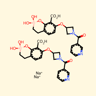 O=C(O)c1c(OC2CN(C(=O)c3cccnc3)C2)ccc2c1O[B-](O)(O)CC2.O=C(O)c1c(OC2CN(C(=O)c3cccnc3)C2)ccc2c1O[B-](O)(O)CC2.[Na+].[Na+]